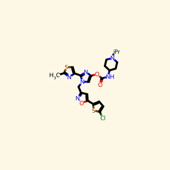 Cc1nc(-c2nc(OC(=O)NC3CCN(C(C)C)CC3)cn2Cc2cc(-c3ccc(Cl)s3)on2)cs1